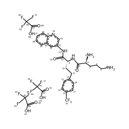 NCCC[C@H](N)C(=O)N[C@H](CCc1ccc(C(F)(F)F)cc1)C(=O)Nc1cnc2ccccc2c1.O=C(O)C(F)(F)F.O=C(O)C(F)(F)F.O=C(O)C(F)(F)F